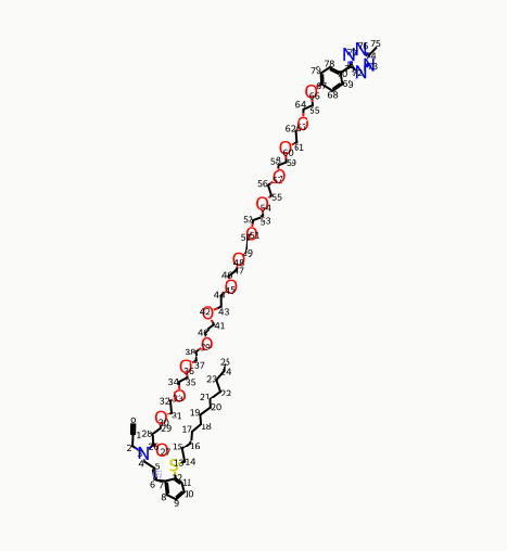 C#CCN(C/C=C/c1ccccc1SCCCCCCCCCCCC)C(=O)CCOCCOCCOCCOCCOCCOCCOCCOCCOCCOCCOCCOCCOc1ccc(-c2nnc(C)nn2)cc1